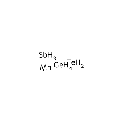 [GeH4].[Mn].[SbH3].[TeH2]